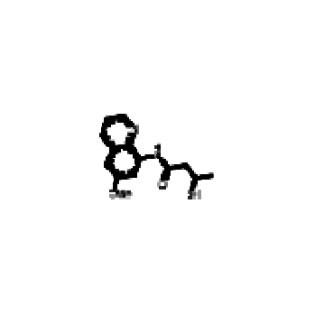 COc1cc(NC(=O)CC(C)S)c2ncccc2c1